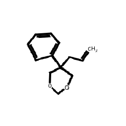 C=CCC1(c2ccccc2)COCOC1